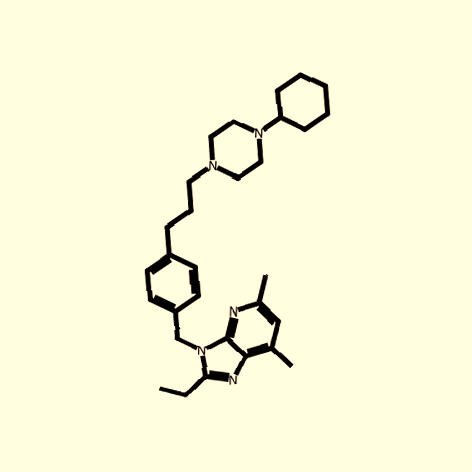 CCc1nc2c(C)cc(C)nc2n1Cc1ccc(CCCN2CCN(C3CCCCC3)CC2)cc1